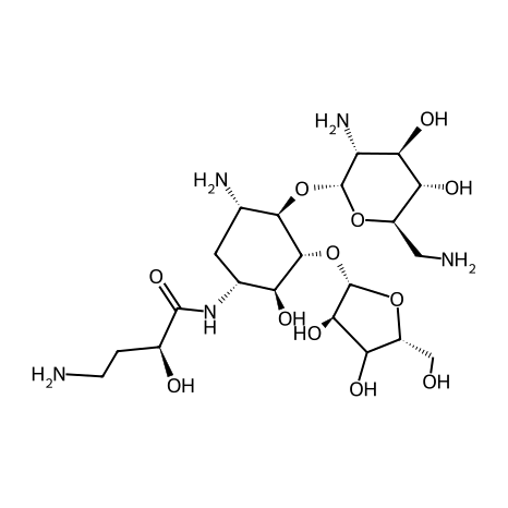 NCC[C@H](O)C(=O)N[C@@H]1C[C@H](N)[C@@H](O[C@H]2O[C@H](CN)[C@@H](O)[C@H](O)[C@H]2N)[C@H](O[C@@H]2O[C@H](CO)C(O)[C@H]2O)[C@H]1O